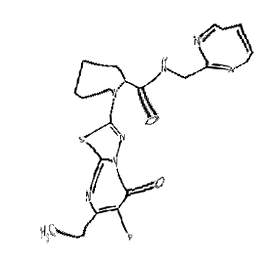 CCc1nc2sc(N3CCCC3C(=O)NCc3ncccn3)nn2c(=O)c1F